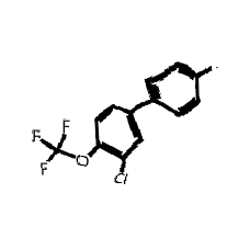 [CH2]c1ccc(-c2ccc(OC(F)(F)F)c(Cl)c2)cc1